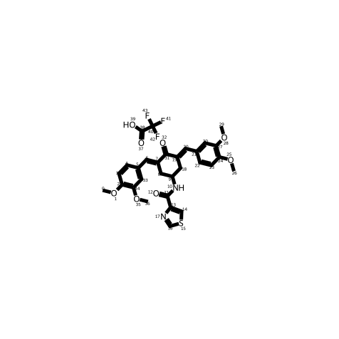 COc1ccc(/C=C2\CC(NC(=O)c3cscn3)C/C(=C\c3ccc(OC)c(OC)c3)C2=O)cc1OC.O=C(O)C(F)(F)F